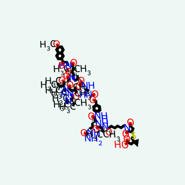 CC[C@H](C)[C@@H]([C@@H](CC(=O)N1C[C@@H](OC(=O)NCCNC(=O)OCc2ccc(NC(=O)[C@H](CCCNC(N)=O)NC(=O)[C@@H](NC(=O)CCCCCN3C(=O)CC(SCC4(CC(=O)O)CC4)C3=O)C(C)C)cc2)C[C@H]1[C@H](OC)[C@@H](C)C(=O)NCC(=O)c1ccc2cc(OC)ccc2c1)OC)N(C)C(=O)[C@@H](NC(=O)[C@H](C(C)C)N(C)C)C(C)C